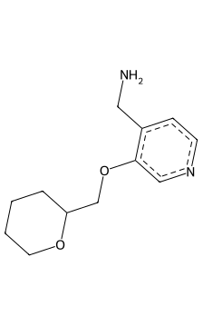 NCc1ccncc1OCC1CCCCO1